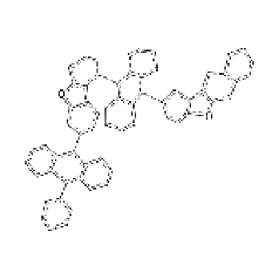 c1ccc(-c2c3ccccc3c(-c3ccc4c(c3)oc3cccc(-c5c6ccccc6c(-c6ccc7oc8cc9ccccc9cc8c7c6)c6ccccc56)c34)c3ccccc23)cc1